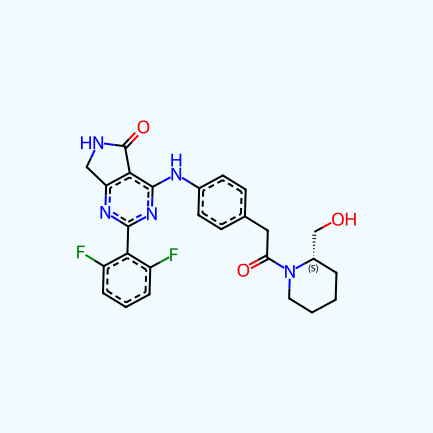 O=C1NCc2nc(-c3c(F)cccc3F)nc(Nc3ccc(CC(=O)N4CCCC[C@H]4CO)cc3)c21